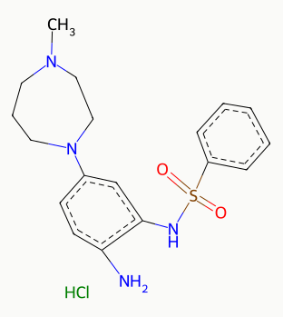 CN1CCCN(c2ccc(N)c(NS(=O)(=O)c3ccccc3)c2)CC1.Cl